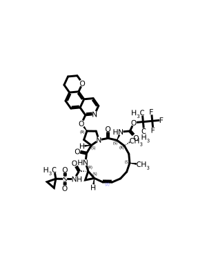 C[C@H]1CC/C=C\[C@@H]2C[C@@]2(C(=O)NS(=O)(=O)C2(C)CC2)NC(=O)[C@@H]2C[C@@H](Oc3nccc4c5c(ccc34)CCCO5)CN2C(=O)[C@@H](NC(=O)OC(C)(C)C(F)(F)F)[C@H](C)C1